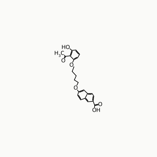 CC(=O)c1c(O)cccc1OCCCCCOc1ccc2cc(C(=O)O)ccc2c1